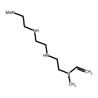 C=CN(C)CCNCCNCCNC